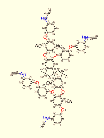 C#CNc1cccc(Oc2cccc(Oc3cc4c(cc3Oc3cccc(Oc5cccc(NC#C)c5)c3C#N)C3(CC4(C)C)CC(C)(C)c4cc(Oc5cccc(Oc6cccc(NC#C)c6)c5C#N)c(Oc5cccc(Oc6cccc(NC#C)c6)c5C#N)cc43)c2C#N)c1